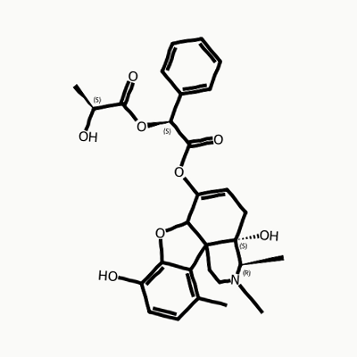 Cc1ccc(O)c2c1C13CCN(C)[C@H](C)[C@]1(O)CC=C(OC(=O)[C@@H](OC(=O)[C@H](C)O)c1ccccc1)C3O2